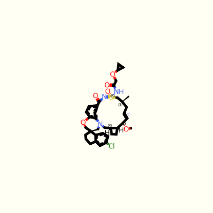 CO[C@H]1/C=C/C[C@H](C)C[S@@](=O)(NC(=O)COC2CC2)=NC(=O)c2ccc3c(c2)N(C[C@@H]2CC[C@H]21)C[C@@]1(CCCc2cc(Cl)ccc21)CO3